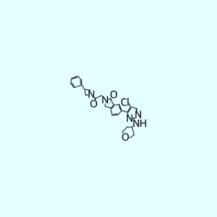 O=C(CN1Cc2ccc(-c3nc(NC4CCOCC4)ncc3Cl)cc2C1=O)N1CC(c2ccccc2)C1